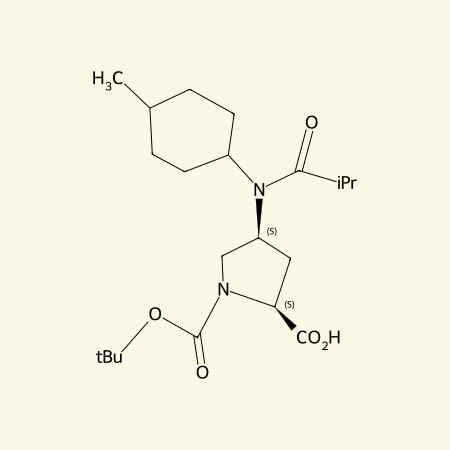 CC1CCC(N(C(=O)C(C)C)[C@H]2C[C@@H](C(=O)O)N(C(=O)OC(C)(C)C)C2)CC1